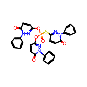 O=c1ccc(OP(=O)(Oc2ccc(=O)n(-c3ccccc3)n2)Sc2ccc(=O)n(-c3ccccc3)n2)nn1-c1ccccc1